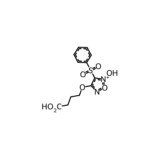 O=C(O)CCCOc1no[n+](O)c1S(=O)(=O)c1ccccc1